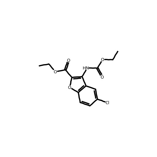 CCOC(=O)Nc1c(C(=O)OCC)oc2ccc(Cl)cc12